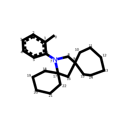 Cc1ccccc1N1CC2(CCCCCC2)CC12CCCCC2